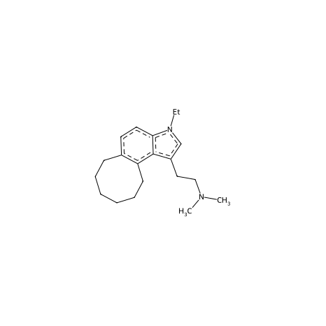 CCn1cc(CCN(C)C)c2c3c(ccc21)CCCCCC3